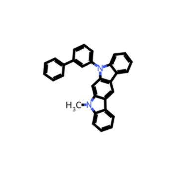 Cn1c2ccccc2c2cc3c4ccccc4n(-c4cccc(-c5ccccc5)c4)c3cc21